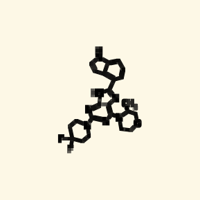 C[C@H]1COCCN1c1nc(N2CCC(F)(F)CC2)nc2[nH]c(-c3cccc4[nH]ccc34)nc12